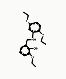 CCOc1ccc(OCC)c(NCc2cccc(OCC)c2O)c1